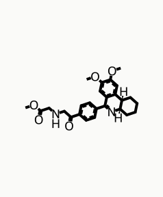 COC(=O)CNCC(=O)c1ccc(C2=N[C@@H]3CCCC[C@@H]3c3cc(OC)c(OC)cc32)cc1